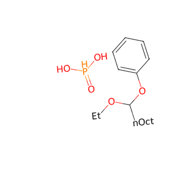 CCCCCCCCC(OCC)Oc1ccccc1.O=[PH](O)O